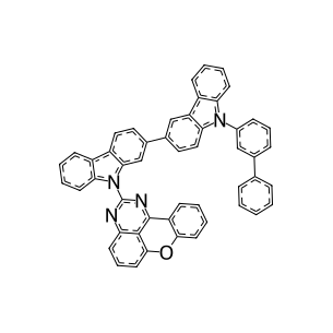 c1ccc(-c2cccc(-n3c4ccccc4c4cc(-c5ccc6c7ccccc7n(-c7nc8c9c(cccc9n7)Oc7ccccc7-8)c6c5)ccc43)c2)cc1